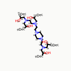 CCCCCCCCCCC(O)CN(CCN1CCN(CCN(CC(O)CCCCCCCCCC)CC(O)CCCCCCCCCC)CC1)CCN(CC(O)CCCCCCCCCC)CC(O)CCCCCCCCCC